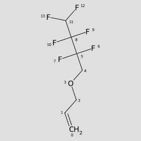 C=CCOCC(F)(F)C(F)(F)C(F)F